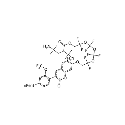 CCCCCc1ccc(-c2cc3ccc(OCC(F)(F)OC(F)(F)OC(F)(F)OC(F)(F)COC(=O)C(CC(C)(C)N)C(C)(C)N)cc3oc2=O)c(OC(F)(F)F)c1